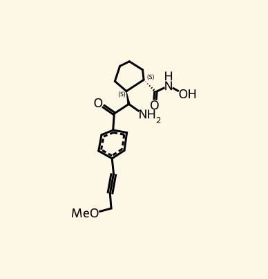 COCC#Cc1ccc(C(=O)C(N)[C@H]2CCCC[C@@H]2C(=O)NO)cc1